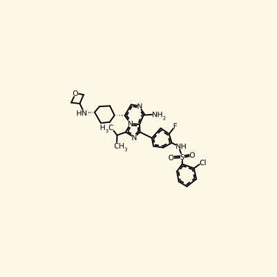 CC(C)c1nc(-c2ccc(NS(=O)(=O)c3ccccc3Cl)c(F)c2)c2c(N)ncc([C@H]3CC[C@@H](NC4COC4)CC3)n12